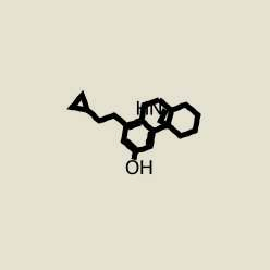 Oc1cc(CCC2CC2)c2c(c1)C13CCCCC1C(C2)NCC3